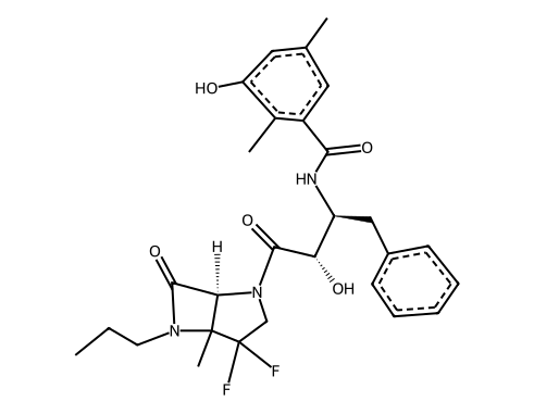 CCCN1C(=O)[C@H]2N(C(=O)[C@@H](O)[C@H](Cc3ccccc3)NC(=O)c3cc(C)cc(O)c3C)CC(F)(F)C21C